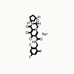 O=C(NCc1c(F)cc(F)cc1F)c1cn2c(c([O-])c1=O)C(=O)N1[C@H]3CC[C@H](C3)O[C@@H]1C2.[Na+]